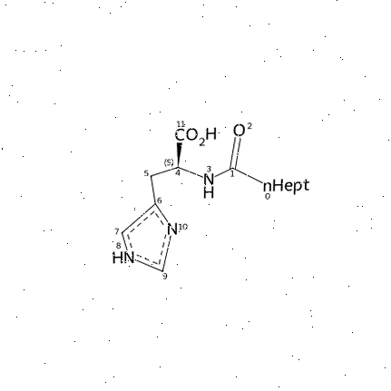 CCCCCCCC(=O)N[C@@H](Cc1c[nH]cn1)C(=O)O